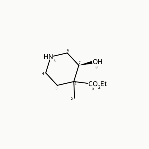 CCOC(=O)C1(C)CCNC[C@H]1O